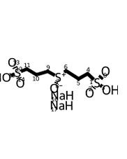 O=S(=O)(O)CCC[S+]([O-])CCCS(=O)(=O)O.[NaH].[NaH]